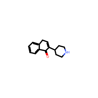 O=C1C(C2CCNCC2)=CCc2ccccc21